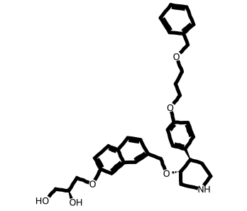 OC[C@H](O)COc1ccc2ccc(CO[C@H]3CNCC[C@@H]3c3ccc(OCCCOCc4ccccc4)cc3)cc2c1